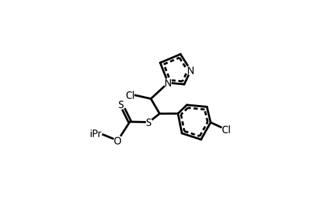 CC(C)OC(=S)SC(c1ccc(Cl)cc1)C(Cl)n1ccnc1